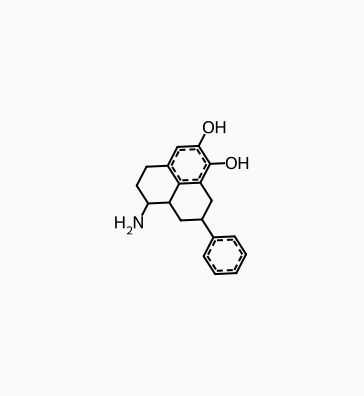 NC1CCc2cc(O)c(O)c3c2C1CC(c1ccccc1)C3